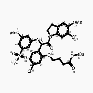 COc1cc(NC(C(=O)N2CCc3cc(OC)c(C(F)(F)F)cc32)c2ccc(Cl)cc2OCCCC(=O)OC(C)(C)C)cc(S(C)(=O)=O)c1